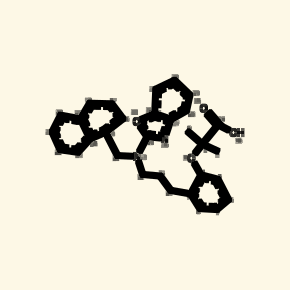 CC(C)(Oc1ccccc1CCCN(Cc1cccc2ccccc12)c1nc2ccccc2o1)C(=O)O